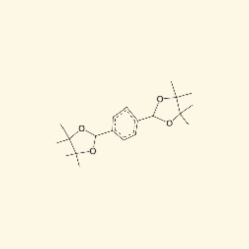 CC1(C)OC(c2ccc(C3OC(C)(C)C(C)(C)O3)cc2)OC1(C)C